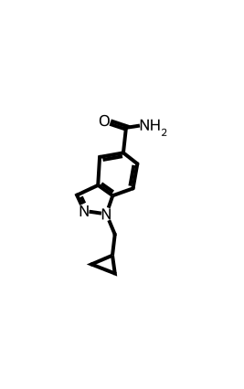 NC(=O)c1ccc2c(cnn2CC2CC2)c1